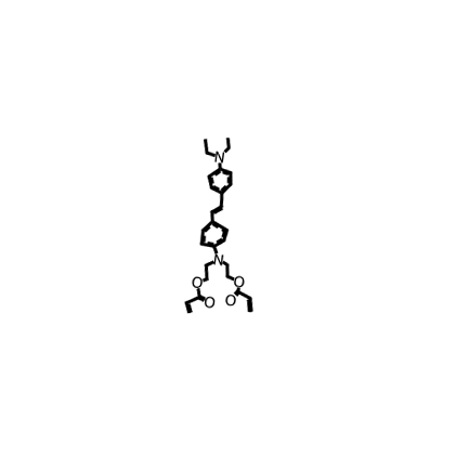 C=CC(=O)OCCN(CCOC(=O)C=C)c1ccc(/C=C/c2ccc(N(CC)CC)cc2)cc1